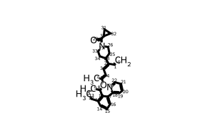 C=C/C(=C\C=C(/C)OC(C)c1c(CC)cccc1-c1ccccn1)C1CCN(C(=O)C2CC2)CC1